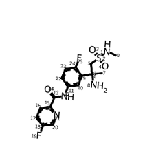 CNS(=O)(=O)C[C@](C)(N)c1cc(NC(=O)c2ccc(F)cn2)ccc1F